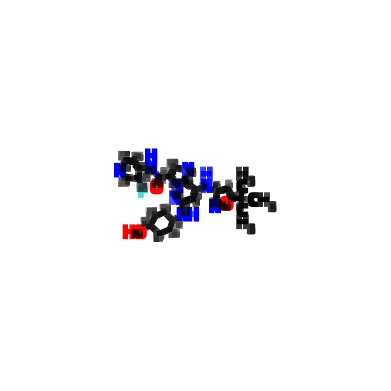 CC(C)(C)c1cc(Nc2cc(NC3CCC(O)CC3)nn3c(C(=O)Nc4ccncc4F)cnc23)no1